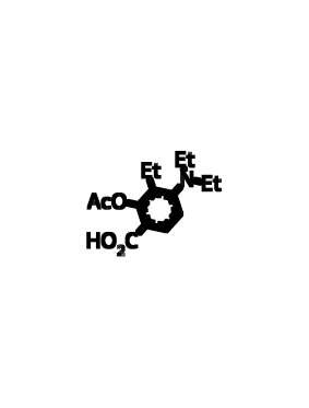 CCc1c(N(CC)CC)ccc(C(=O)O)c1OC(C)=O